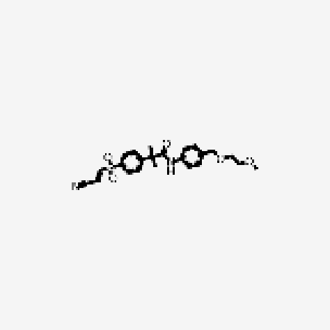 COCCOCc1ccc(NC(=O)C(C)(C)c2ccc(S(=O)(=O)C=CC#N)cc2)cc1